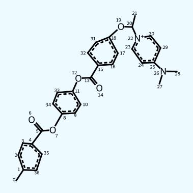 Cc1ccc(C(=O)Oc2ccc(OC(=O)c3ccc(OC(C)[n+]4ccc(N(C)C)cc4)cc3)cc2)cc1